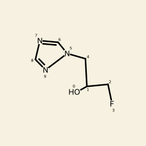 OC(CF)Cn1cncn1